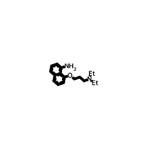 CCN(CC)CCCOc1cccc2cccc(N)c12